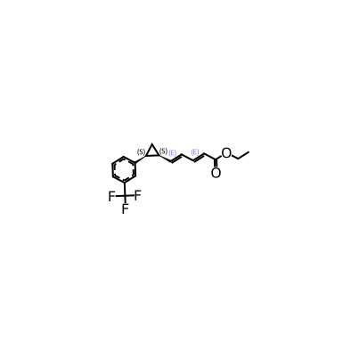 CCOC(=O)/C=C/C=C/[C@@H]1C[C@@H]1c1cccc(C(F)(F)F)c1